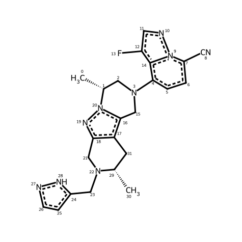 C[C@@H]1CN(c2ccc(C#N)n3ncc(F)c23)Cc2c3c(nn21)CN(Cc1ccn[nH]1)[C@@H](C)C3